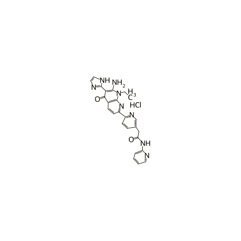 CCn1c(N)c(-c2ncc[nH]2)c(=O)c2ccc(-c3ccc(CC(=O)Nc4ccccn4)cn3)nc21.Cl